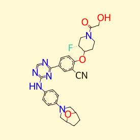 N#Cc1cc(-c2ncnc(Nc3ccc(N4CC5CCC(C4)O5)cc3)n2)ccc1OC1CCN(C(=O)CO)C[C@H]1F